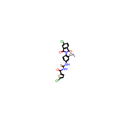 Cc1cc(NC(=S)NC(=O)c2ccc(Cl)s2)ccc1N1C(=O)c2ccc(Cl)cc2C1=O